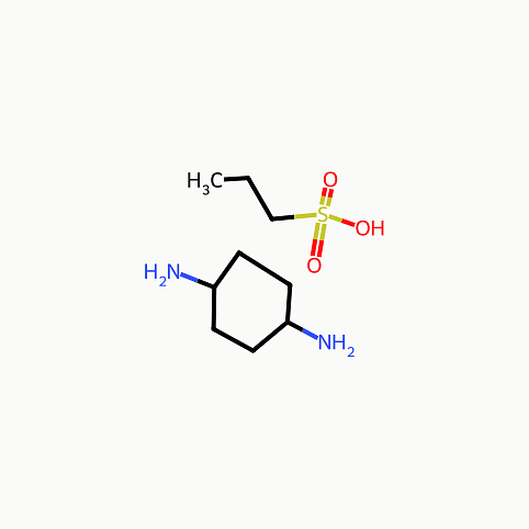 CCCS(=O)(=O)O.NC1CCC(N)CC1